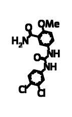 COc1ccc(NC(=O)Nc2ccc(Cl)c(Cl)c2)cc1C(N)=O